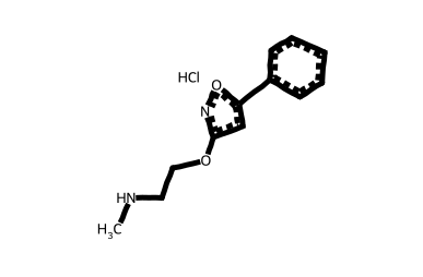 CNCCOc1cc(-c2ccccc2)on1.Cl